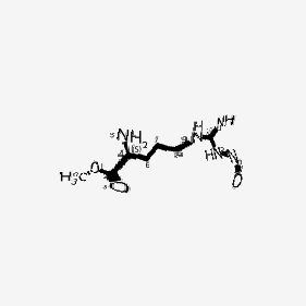 COC(=O)[C@@H](N)CCCNC(=N)NN=O